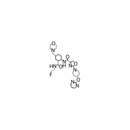 O=C(Nc1ccc(CN2CCOCC2)cc1C(=O)NCCF)c1coc(N2CCC(Oc3ncccn3)CC2)n1